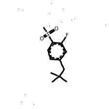 CC(C)(C)Cc1ccc(S(C)(=O)=O)c(F)c1